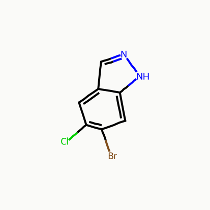 Clc1cc2cn[nH]c2cc1Br